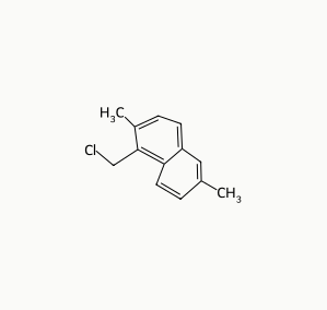 Cc1ccc2c(CCl)c(C)ccc2c1